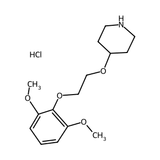 COc1cccc(OC)c1OCCOC1CCNCC1.Cl